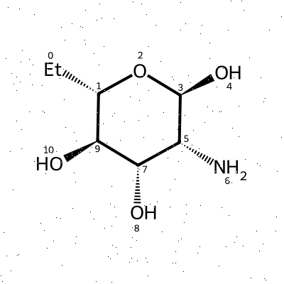 CC[C@@H]1O[C@@H](O)[C@H](N)[C@H](O)[C@H]1O